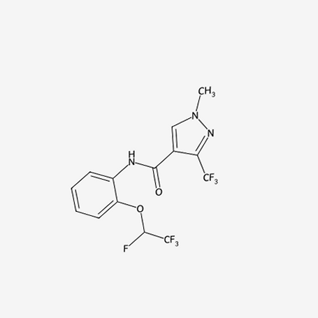 Cn1cc(C(=O)Nc2ccccc2OC(F)C(F)(F)F)c(C(F)(F)F)n1